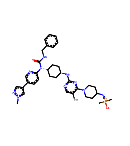 Cn1cc(-c2ccc(N(C(=O)NCc3ccccc3)[C@H]3CC[C@H](Nc4ncc(C#N)c(N5CCC(N=[SH](C)(C)O)CC5)n4)CC3)nc2)cn1